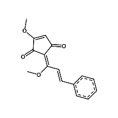 COC1=CC(=O)/C(=C(\C=C\c2ccccc2)OC)C1=O